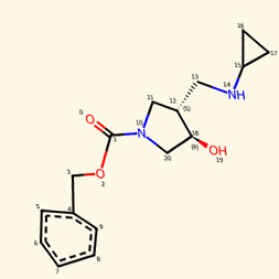 O=C(OCc1ccccc1)N1C[C@H](CNC2CC2)[C@@H](O)C1